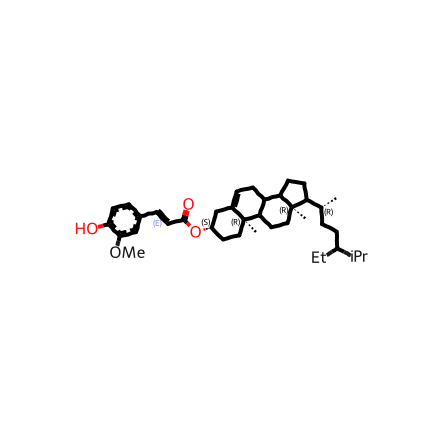 CCC(CC[C@@H](C)C1CCC2C3CC=C4C[C@@H](OC(=O)/C=C/c5ccc(O)c(OC)c5)CC[C@]4(C)C3CC[C@@]21C)C(C)C